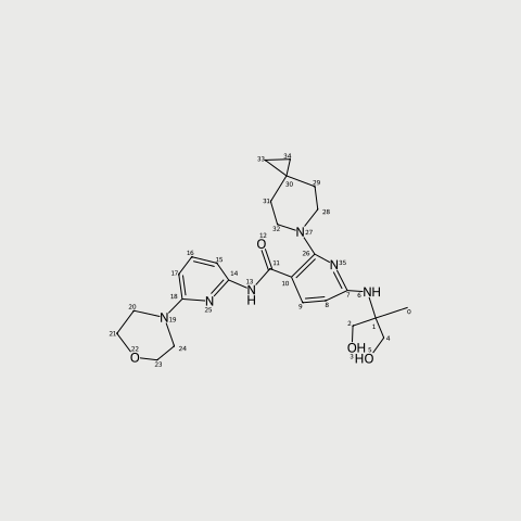 CC(CO)(CO)Nc1ccc(C(=O)Nc2cccc(N3CCOCC3)n2)c(N2CCC3(CC2)CC3)n1